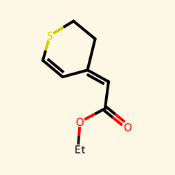 CCOC(=O)C=C1C=CSCC1